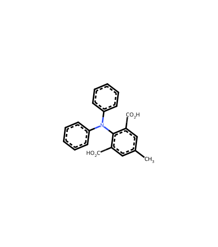 Cc1cc(C(=O)O)c(N(c2ccccc2)c2ccccc2)c(C(=O)O)c1